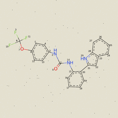 O=C(Nc1ccc(OC(F)(F)F)cc1)Nc1ccccc1-c1cc2ccccc2[nH]1